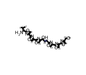 CC(C)C(N)c1nc(-c2nc(-c3nc(C(O)/C=C/c4nc(-c5nc(-c6nc(C=O)co6)co5)co4)co3)co2)co1